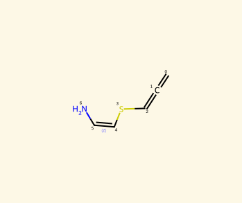 C=C=CS/C=C\N